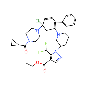 CCOC(=O)c1cnn(C2CCCN(C3=C(c4ccccc4)C=CC(Cl)(N4CCN(C(=O)C5CC5)CC4)C3)C2)c1C(F)F